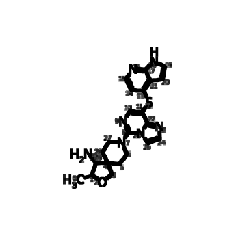 C[C@@H]1OCC2(CCN(c3ncc(Sc4ccnc5[nH]ccc45)c4nccn34)CC2)[C@@H]1N